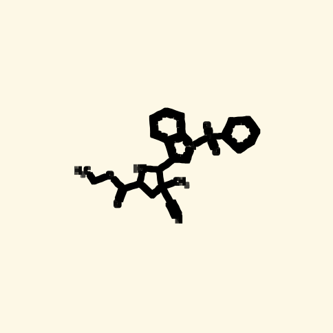 CCOC(=O)C1CC(C)(C#N)C(c2cn(S(=O)(=O)c3ccccc3)c3ccccc23)N1